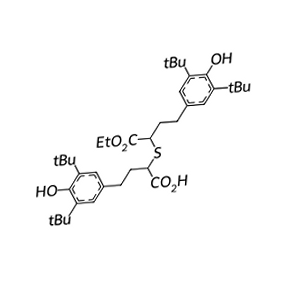 CCOC(=O)C(CCc1cc(C(C)(C)C)c(O)c(C(C)(C)C)c1)SC(CCc1cc(C(C)(C)C)c(O)c(C(C)(C)C)c1)C(=O)O